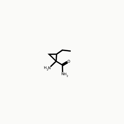 CCC1CC1(N)C(N)=O